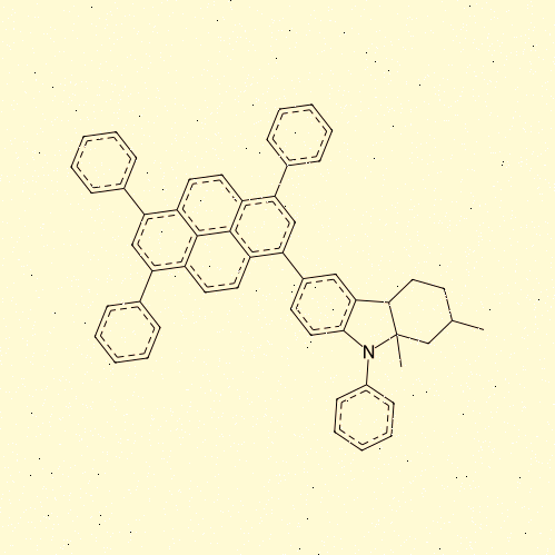 CC1CCC2c3cc(-c4cc(-c5ccccc5)c5ccc6c(-c7ccccc7)cc(-c7ccccc7)c7ccc4c5c67)ccc3N(c3ccccc3)C2(C)C1